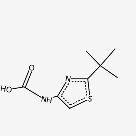 CC(C)(C)c1nc(NC(=O)O)cs1